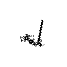 CCCCCCCCCCCCCCCC(=O)OC(CC(=O)[O-])C[N+](C)(C)C(=O)Nc1ccc(O[C@H]2O[C@H](CO)[C@H](O)[C@H](O)[C@H]2O)cc1